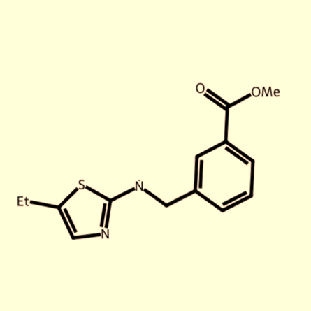 CCc1cnc([N]Cc2cccc(C(=O)OC)c2)s1